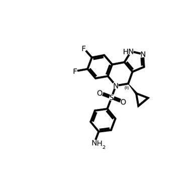 Nc1ccc(S(=O)(=O)N2c3cc(F)c(F)cc3-c3[nH]ncc3[C@H]2C2CC2)cc1